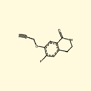 C#CCOc1cc2c(cc1F)CCNC2=O